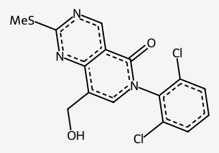 CSc1ncc2c(=O)n(-c3c(Cl)cccc3Cl)cc(CO)c2n1